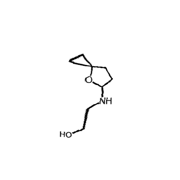 OCCNC1CCC2(CC2)O1